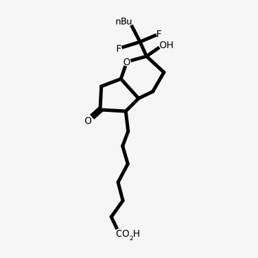 CCCCC(F)(F)C1(O)CCC2C(CC(=O)C2CCCCCCC(=O)O)O1